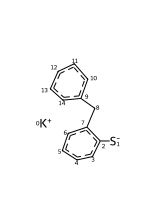 [K+].[S-]c1ccccc1Cc1ccccc1